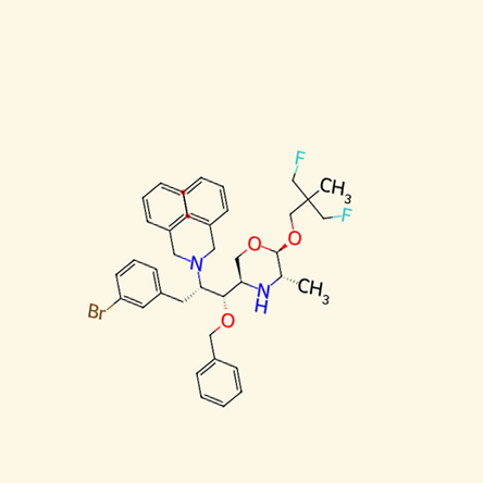 C[C@@H]1N[C@@H]([C@H](OCc2ccccc2)[C@H](Cc2cccc(Br)c2)N(Cc2ccccc2)Cc2ccccc2)CO[C@H]1OCC(C)(CF)CF